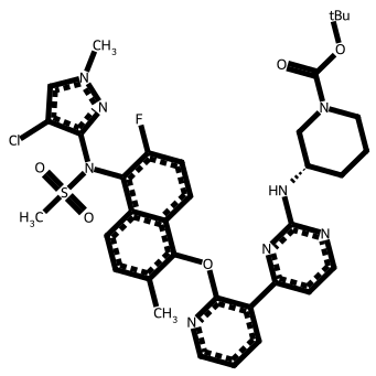 Cc1ccc2c(N(c3nn(C)cc3Cl)S(C)(=O)=O)c(F)ccc2c1Oc1ncccc1-c1ccnc(N[C@H]2CCCN(C(=O)OC(C)(C)C)C2)n1